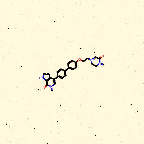 C[C@@H]1C(=O)N(C)CCN1CCOc1ccc(-c2ccc(-c3cn(C)c(=O)c4[nH]ccc34)cc2)cc1